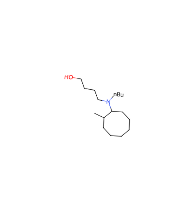 CCCCN(CCCCO)C1CCCCCCC1C